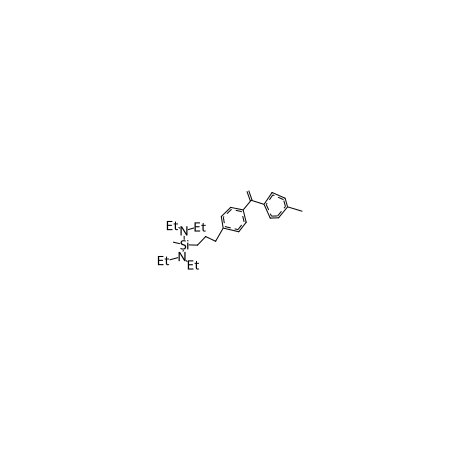 C=C(c1ccc(C)cc1)c1ccc(CCC[Si](C)(N(CC)CC)N(CC)CC)cc1